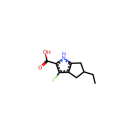 CCC1Cc2[nH]c(C(=O)O)c(F)c2C1